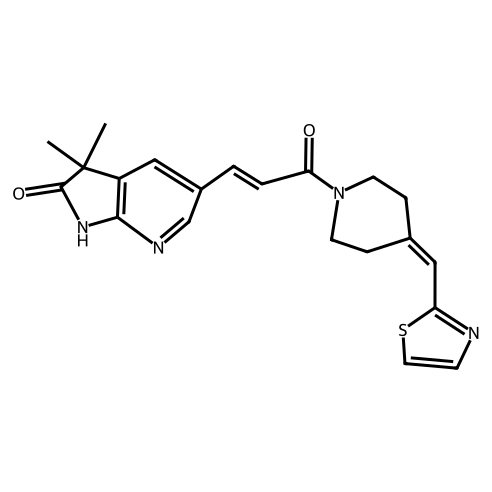 CC1(C)C(=O)Nc2ncc(/C=C/C(=O)N3CCC(=Cc4nccs4)CC3)cc21